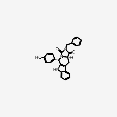 O=C1[C@H]2Cc3c([nH]c4ccccc34)[C@H](c3ccc(O)cc3)N2C(=O)N1Cc1ccccc1